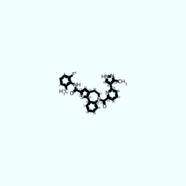 Cc1cccc(F)c1NC(=O)c1cc2c(s1)-c1ccccc1N(C(=O)c1cccc(-c3c[nH]nc3C)n1)CC2